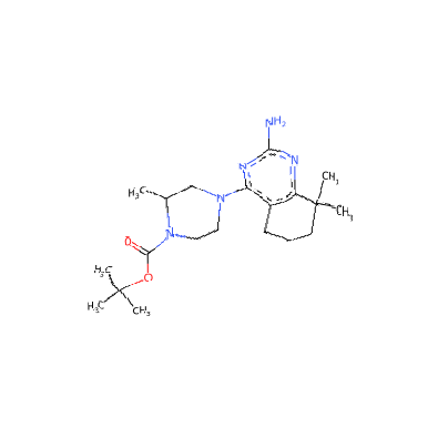 CC1CN(c2nc(N)nc3c2CCCC3(C)C)CCN1C(=O)OC(C)(C)C